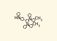 Cc1cccc(N(c2ccccc2)c2cc(-c3ccc(Nc4ccccc4)cc3)cc(N(c3ccccc3)c3cccc(C)c3)c2)c1